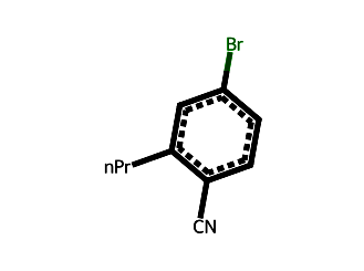 CCCc1cc(Br)ccc1C#N